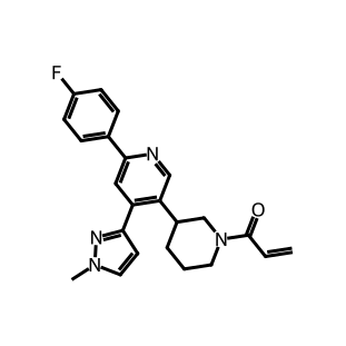 C=CC(=O)N1CCCC(c2cnc(-c3ccc(F)cc3)cc2-c2ccn(C)n2)C1